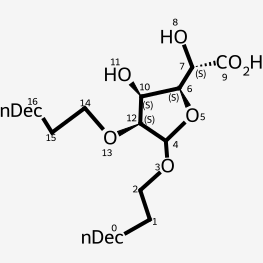 CCCCCCCCCCCCOC1O[C@H]([C@H](O)C(=O)O)[C@H](O)[C@@H]1OCCCCCCCCCCCC